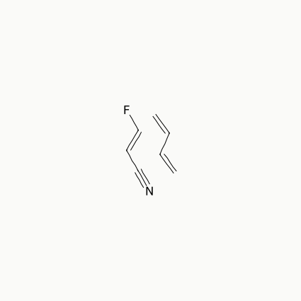 C=CC=C.N#CC=CF